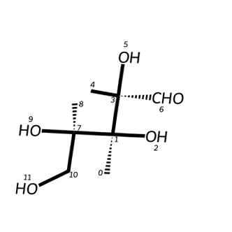 C[C@@](O)([C@@](C)(O)C=O)[C@](C)(O)CO